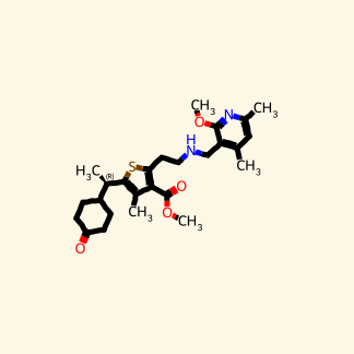 COC(=O)c1c(CCNCc2c(C)cc(C)nc2OC)sc([C@H](C)C2CCC(=O)CC2)c1C